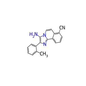 Cc1ccccc1-c1nc2c3cccc(C#N)c3ccn2c1N